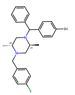 CC(=O)c1ccc(C(c2ccccc2)N2C[C@@H](C)N(Cc3ccc(F)cc3)C[C@@H]2C)cc1